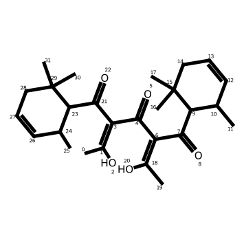 CC(O)=C(C(=O)C(C(=O)C1C(C)C=CCC1(C)C)=C(C)O)C(=O)C1C(C)C=CCC1(C)C